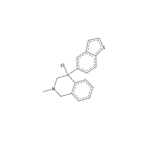 CN1Cc2ccccc2C(Cl)(c2ccc3sccc3c2)C1